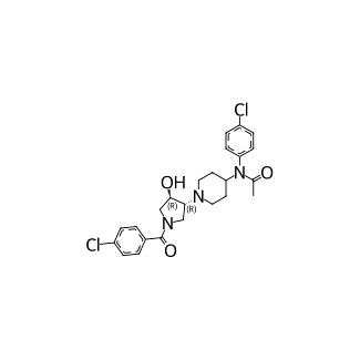 CC(=O)N(c1ccc(Cl)cc1)C1CCN([C@@H]2CN(C(=O)c3ccc(Cl)cc3)C[C@H]2O)CC1